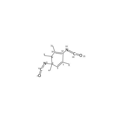 CC1=CC(C)(N=C=O)C(C)C(C)=C1N=C=O